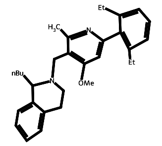 CCCCC1c2ccccc2CCN1Cc1c(OC)cc(-c2c(CC)cccc2CC)nc1C